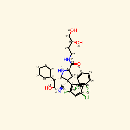 N#C[C@]1(c2ccc(Cl)cc2F)[C@H](C(CO)C2CCCCC2)N[C@@H](C(=O)NCC[C@H](O)CO)[C@@H]1c1cccc(Cl)c1F